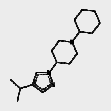 CC(C)c1cnn(C2CCN(C3CCCCC3)CC2)c1